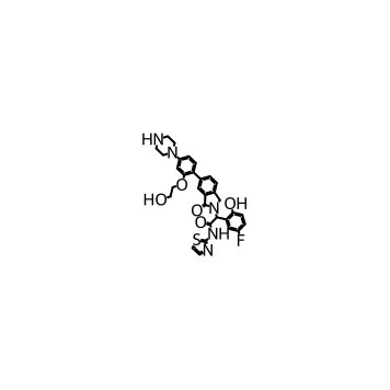 O=C(Nc1nccs1)C(c1cc(F)ccc1O)N1Cc2ccc(-c3ccc(N4CCNCC4)cc3OCCO)cc2C1=O